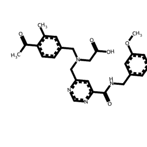 COc1cccc(CNC(=O)c2cc(CN(CC(=O)O)Cc3ccc(C(C)=O)c(C)c3)ncn2)c1